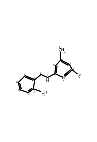 Cc1cc(Br)nc(NCc2ccccc2O)c1